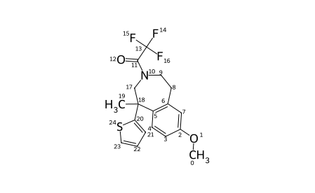 COc1ccc2c(c1)CCN(C(=O)C(F)(F)F)CC2(C)c1cccs1